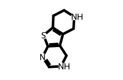 C1=Nc2sc3c(c2CN1)CNCC3